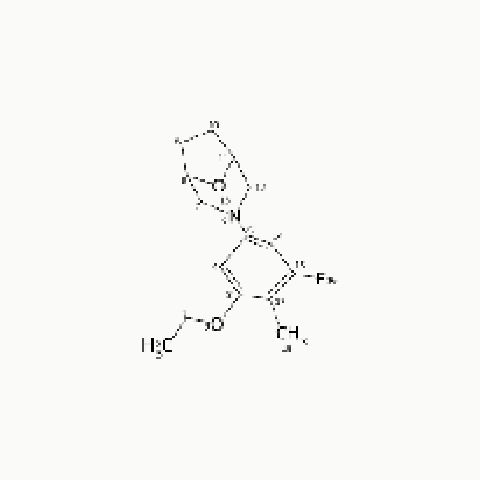 CCOc1cc(N2CC3CCC(C2)O3)cc(F)c1C